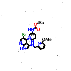 COc1cccc(CNc2c[nH]c3ncc(Br)c(N4CCC[C@@H](NC(=O)OC(C)(C)C)C4)c23)n1